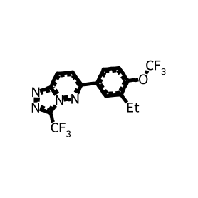 CCc1cc(-c2ccc3nnc(C(F)(F)F)n3n2)ccc1OC(F)(F)F